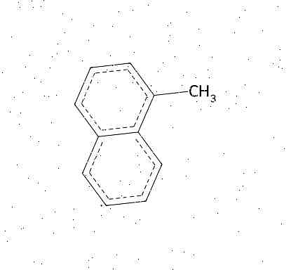 Cc1cccc2c[c]ccc12